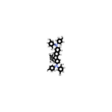 Cc1ccc(N(c2ccc3c(c2)C([Si](C)(C)C)([Si](C)(C)C)c2cc4cc(N(c5ccc(C)cc5)c5cc(C)ccc5C)ccc4cc2-3)c2cc(C)ccc2C)cc1